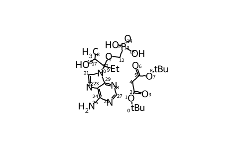 CC(C)(C)OC(=O)CC(=O)OC(C)(C)C.CCC(OCP(=O)(O)O)(C(C)O)n1cnc2c(N)ncnc21